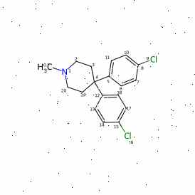 CN1CCC(c2ccc(Cl)cc2)(c2ccc(Cl)cc2)CC1